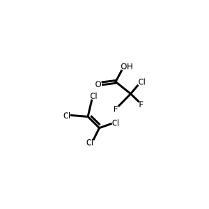 ClC(Cl)=C(Cl)Cl.O=C(O)C(F)(F)Cl